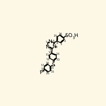 O=S(=O)(O)c1ccc(-c2ncnc(-c3ccc(Sc4ccc(F)cc4)cc3)n2)cc1